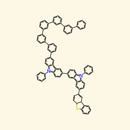 C1=CC2Sc3ccccc3C2C=C1c1ccc2c(c1)c1cc(-c3ccc4c(c3)c3cc(-c5cccc(-c6cccc(-c7cccc(-c8cccc(-c9cccc(-c%10ccccc%10)c9)c8)c7)c6)c5)ccc3n4-c3ccccc3)ccc1n2-c1ccccc1